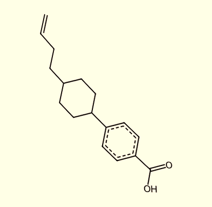 C=CCCC1CCC(c2ccc(C(=O)O)cc2)CC1